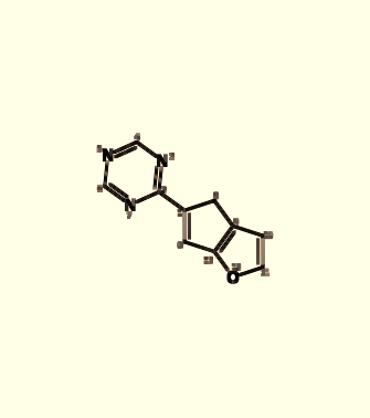 C1=C(c2ncncn2)Cc2ccoc21